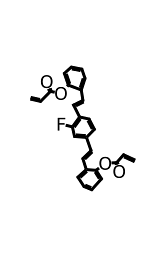 C=CC(=O)Oc1ccccc1/C=C/c1ccc(/C=C/c2ccccc2OC(=O)C=C)c(F)c1